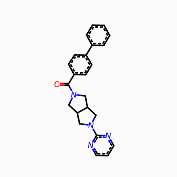 O=C(c1ccc(-c2ccccc2)cc1)N1CC2CN(c3ncccn3)CC2C1